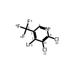 [Li][c]1c(C(F)(F)F)cnc(Cl)c1Cl